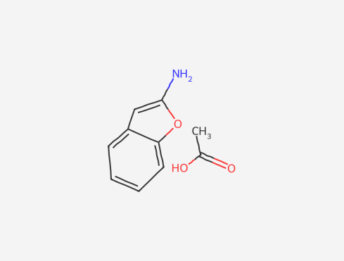 CC(=O)O.Nc1cc2ccccc2o1